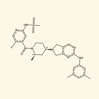 Cc1cc(C)cc(Nc2ncc3c(n2)CN([C@@H]2CCN(C(=O)c4cc(NS(C)(=O)=O)ncc4F)[C@H](C)C2)C3)c1